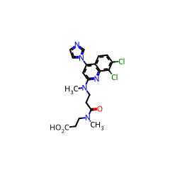 CN(CCC(=O)O)C(=O)CCN(C)c1cc(-n2ccnc2)c2ccc(Cl)c(Cl)c2n1